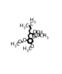 COCOc1cc(OC)cc(OCOC)c1CC(CC=C(C)C)C(=O)OC